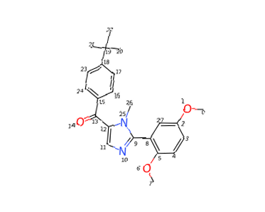 COc1ccc(OC)c(-c2ncc(C(=O)c3ccc(C(C)(C)C)cc3)n2C)c1